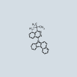 CC(C)(C)c1nnc(-n2c3ccccc3c3c4ccccc4ccc32)c2ccccc12